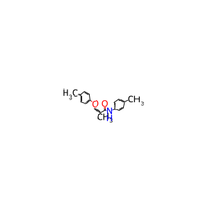 CC(=COc1ccc(C)cc1)C(=O)Nc1ccc(C)cc1